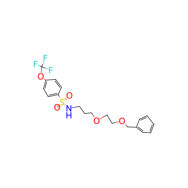 O=S(=O)(NCCCOCCOCc1ccccc1)c1ccc(OC(F)(F)F)cc1